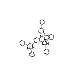 Cc1ccc(-c2ccc3c(c2)c2ccccc2n3-c2ccc(-c3cc(-c4ccccc4)nc(-c4ccccc4)n3)cc2-c2cc(-c3ccccc3)nc(-c3ccccc3)n2)cc1